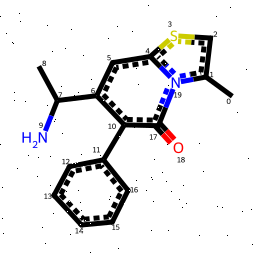 Cc1csc2cc(C(C)N)c(-c3ccccc3)c(=O)n12